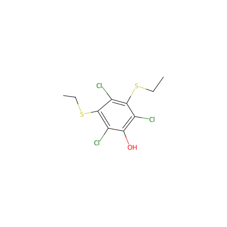 CCSc1c(Cl)c(O)c(Cl)c(SCC)c1Cl